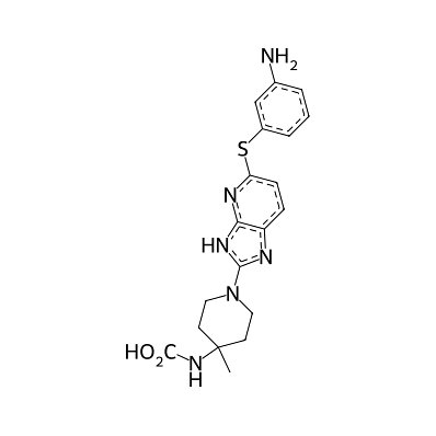 CC1(NC(=O)O)CCN(c2nc3ccc(Sc4cccc(N)c4)nc3[nH]2)CC1